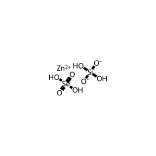 O=[Se](=O)(O)O.[O-][Si]([O-])(O)O.[Zn+2]